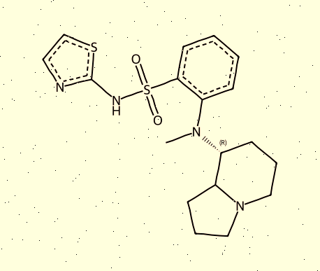 CN(c1ccccc1S(=O)(=O)Nc1nccs1)[C@@H]1CCCN2CCCC12